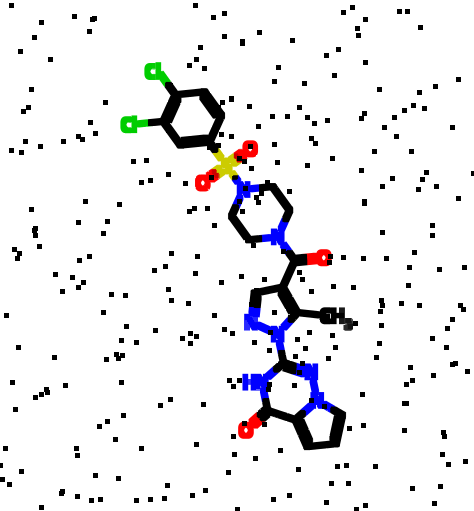 Cc1c(C(=O)N2CCN(S(=O)(=O)c3ccc(Cl)c(Cl)c3)CC2)cnn1-c1nn2cccc2c(=O)[nH]1